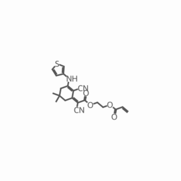 C=CC(=O)OCCOC(=O)/C(C#N)=C1/CC(C)(C)CC(Nc2ccsc2)=C1C#N